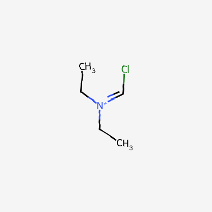 CC[N+](=CCl)CC